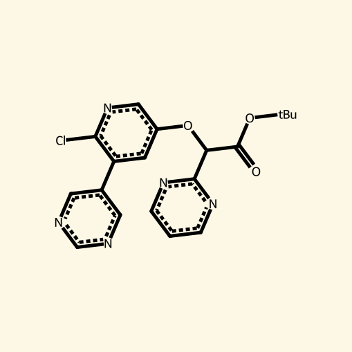 CC(C)(C)OC(=O)C(Oc1cnc(Cl)c(-c2cncnc2)c1)c1ncccn1